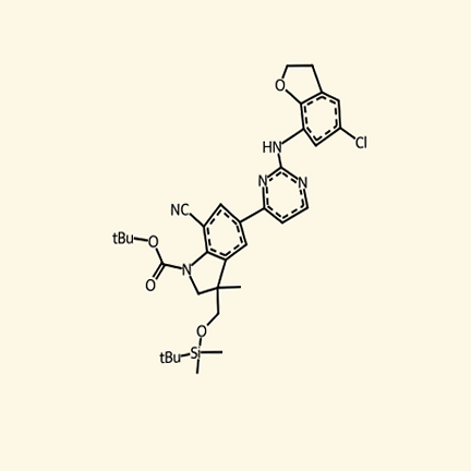 CC(C)(C)OC(=O)N1CC(C)(CO[Si](C)(C)C(C)(C)C)c2cc(-c3ccnc(Nc4cc(Cl)cc5c4OCC5)n3)cc(C#N)c21